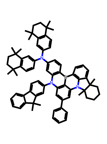 CC1(C)CCC(C)(C)c2cc(N(c3ccc4c(c3)N(c3ccc5c(c3)C(C)(C)c3ccccc3-5)c3cc(-c5ccccc5)cc5c3B4c3cccc4c3N5C3(C)CCCCC43C)c3ccc4c(c3)C(C)(C)CCC4(C)C)ccc21